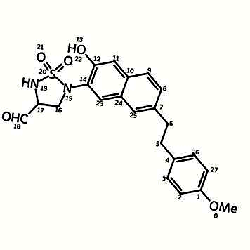 COc1ccc(CCc2ccc3cc(O)c(N4CC(C=O)NS4(=O)=O)cc3c2)cc1